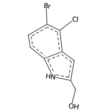 OCc1cc2c(Cl)c(Br)ccc2[nH]1